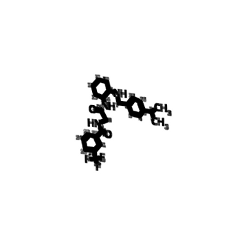 CC(C)c1ccc(CNC2CCCCC2NC(=O)CNC(=O)c2cccc(C(F)(F)F)c2)cc1